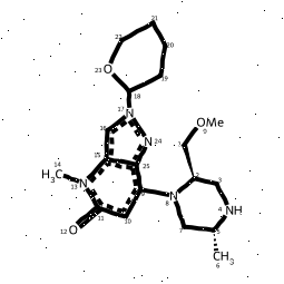 COC[C@H]1CN[C@H](C)CN1c1cc(=O)n(C)c2cn(C3CCCCO3)nc12